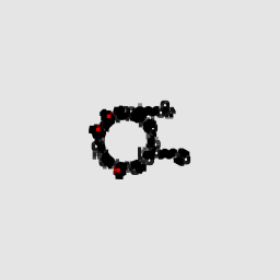 CCC1NC(=O)[C@@H]2[C@@H]([C@H](C)CCCCOC(=O)N(C)C)ON2C(=O)C(C(C)C)N(C)C(=O)[C@H](CC(C)C)N(C)C(=O)C(CC(C)C)N(C)C(=O)[C@@H](C)NC(=O)C(C)NC(=O)[C@H](CC(C)C)N(C)C(=O)[C@H](C(C)C)NC(=O)C([C@@H](C)OCCCCN2CCOCC2)N(C)C(=O)[C@@H](C)N(C)C1=O